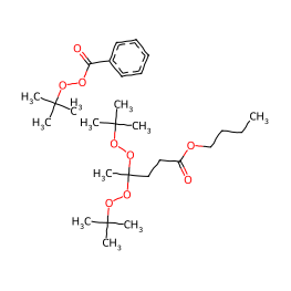 CC(C)(C)OOC(=O)c1ccccc1.CCCCOC(=O)CCC(C)(OOC(C)(C)C)OOC(C)(C)C